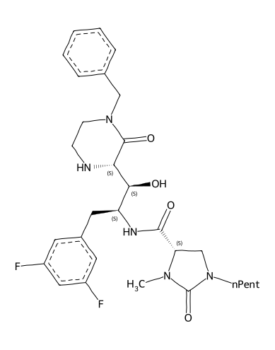 CCCCCN1C[C@@H](C(=O)N[C@@H](Cc2cc(F)cc(F)c2)[C@H](O)[C@@H]2NCCN(Cc3ccccc3)C2=O)N(C)C1=O